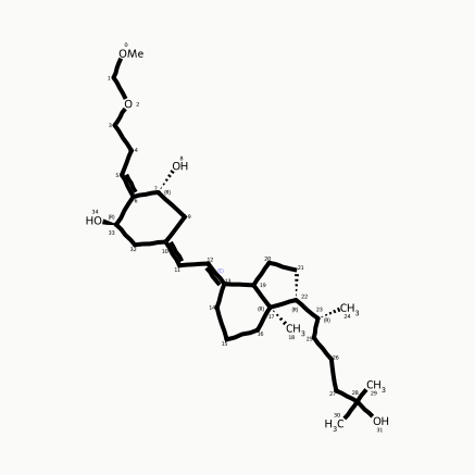 COCOCCC=C1[C@H](O)CC(=C/C=C2\CCC[C@@]3(C)C2CC[C@@H]3[C@H](C)CCCC(C)(C)O)C[C@H]1O